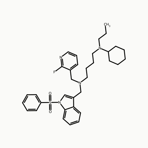 CCCN(CCCCN(Cc1cccnc1F)Cc1cn(S(=O)(=O)c2ccccc2)c2ccccc12)C1CCCCC1